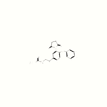 O=C(O)NCCc1ccc(Oc2ccccc2)cc1.O=C1CCC(=O)N1